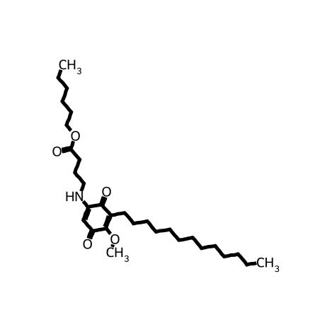 CCCCCCCCCCCCCC1=C(OC)C(=O)C=C(NCCCC(=O)OCCCCCC)C1=O